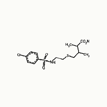 CC(CSCCNS(=O)(=O)c1ccc(Cl)cc1)C(C)C(=O)O